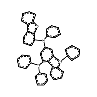 c1ccc(N(c2cc(N(c3ccccc3)c3ccccc3)c3c4ccccc4n(-c4ccccc4)c3c2)c2cccc3c2sc2ccccc23)cc1